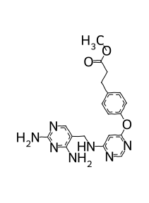 COC(=O)CCc1ccc(Oc2cc(NCc3cnc(N)nc3N)ncn2)cc1